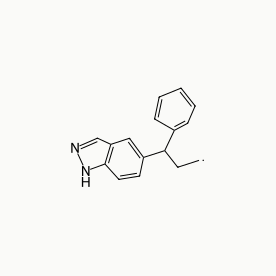 [CH2]CC(c1ccccc1)c1ccc2[nH]ncc2c1